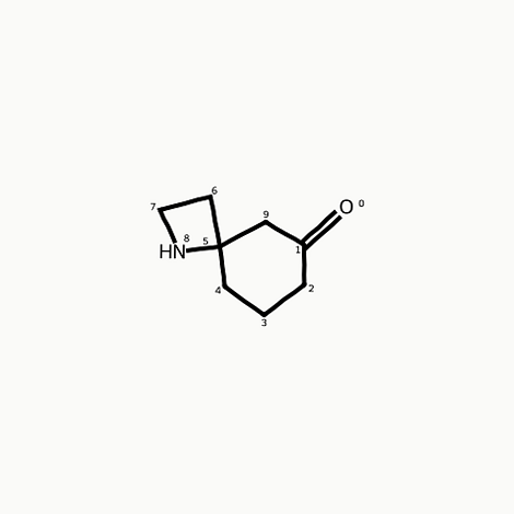 O=C1CCCC2(CCN2)C1